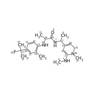 CNC1=CC(C(C)NC(=O)C(C)Nc2ccc(C(C)(C)F)cc2C)=CCN1C